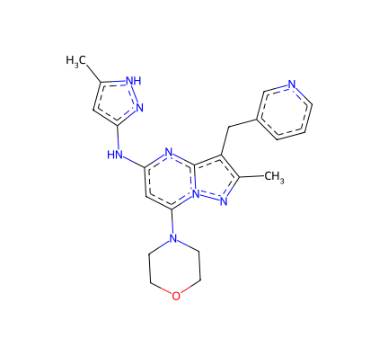 Cc1cc(Nc2cc(N3CCOCC3)n3nc(C)c(Cc4cccnc4)c3n2)n[nH]1